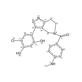 CNc1ccc(C(=O)N2CCc3noc(-c4cc(Cl)c(O)cc4O)c3C2)cc1